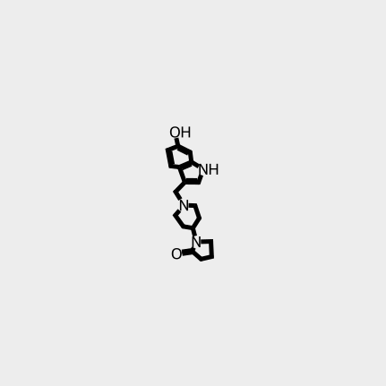 O=C1CCCN1C1CCN(Cc2c[nH]c3cc(O)ccc23)CC1